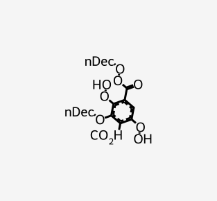 CCCCCCCCCCOOC(=O)c1cc(OO)c(C(=O)O)c(OCCCCCCCCCC)c1OO